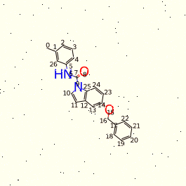 Cc1cccc(NC(=O)n2ccc3cc(OCc4ccccc4)ccc32)c1